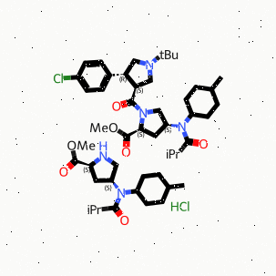 COC(=O)[C@@H]1C[C@H](N(C(=O)C(C)C)C2CCC(C)CC2)CN1.COC(=O)[C@@H]1C[C@H](N(C(=O)C(C)C)C2CCC(C)CC2)CN1C(=O)[C@@H]1CN(C(C)(C)C)C[C@H]1c1ccc(Cl)cc1.Cl